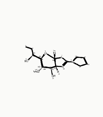 CC[C@H](O)[C@H]1O[C@@H]2SC(N3CCCC3)=N[C@@H]2[C@@H](O)[C@@H]1O